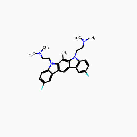 Cc1c2c(cc3c4cc(F)ccc4n(CCN(C)C)c13)c1cc(F)ccc1n2CCN(C)C